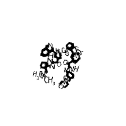 CN(C)Cc1cccc2[nH]c(C(=O)c3ccnc(-c4cncc5ccccc45)c3)nc12.COc1cccc(F)c1-c1cc(C(=O)c2nc3cc(C[N+]4([O-])CCOCC4)ccc3[nH]2)cc[n+]1[O-]